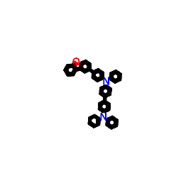 C1=CCCC(N(c2ccccc2)c2ccc(-c3ccc(N(c4ccccc4)c4ccc(-c5ccc6oc7ccccc7c6c5)cc4)cc3)cc2)=C1